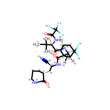 CC(C)(C)[C@@H](NC(=O)C(F)(F)F)C(=O)N1[C@H]2CC[C@@H]([C@@H]1C(=O)N[C@H](C#N)C[C@H]1CCCNC1=O)C(F)(F)C2